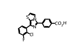 O=C(O)c1ccc(-c2nc(-c3cccc(F)c3Cl)c3sccn23)cc1